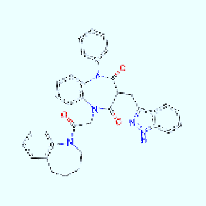 O=C(CN1C(=O)C(Cc2n[nH]c3ccccc23)C(=O)N(c2ccccc2)c2ccccc21)N1CCCCc2ccccc21